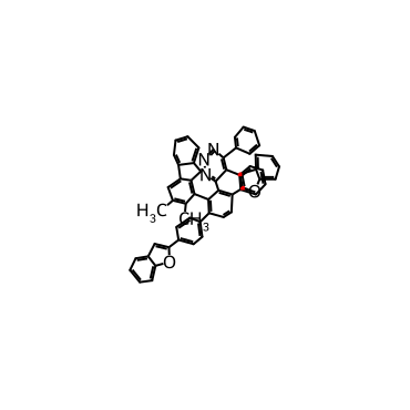 Cc1cc2c(c(-c3c(-c4ccc(-c5cc6ccccc6o5)cc4)ccc(-c4cc5ccccc5o4)c3-c3nnnc(-c4ccccc4)c3-c3ccccc3)c1C)Cc1ccccc1-2